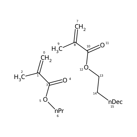 C=C(C)C(=O)OCCC.C=C(C)C(=O)OCCCCCCCCCCCC